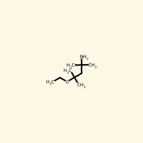 CCOC(C)(C)CC(C)(C)N